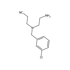 N#CCCN(CCN)Cc1cccc(Cl)c1